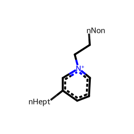 CCCCCCCCCCC[n+]1cccc(CCCCCCC)c1